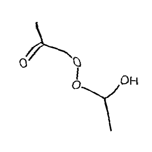 CC(=O)OOC(C)O